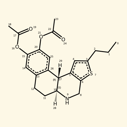 CCCc1cc2c(s1)CN[C@H]1CCc3cc(OC(C)=O)c(OC(C)=O)cc3[C@H]21